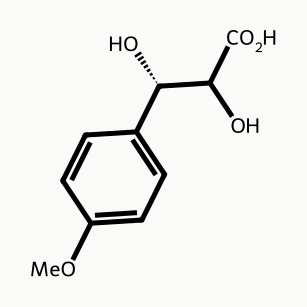 COc1ccc([C@H](O)C(O)C(=O)O)cc1